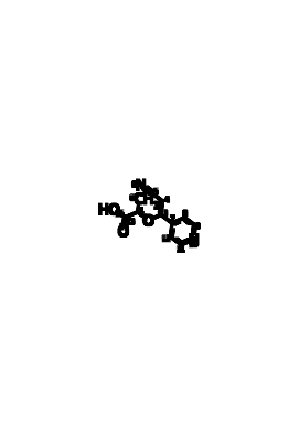 CC(OC(=CC#N)c1ccncc1)C(=O)O